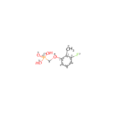 Cc1c(F)cccc1OCP(=O)(O)O